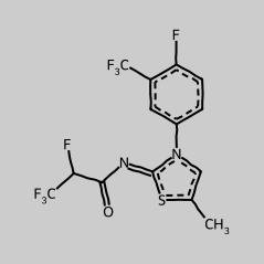 Cc1cn(-c2ccc(F)c(C(F)(F)F)c2)c(=NC(=O)C(F)C(F)(F)F)s1